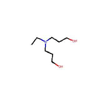 [CH2]CN(CCCO)CCCO